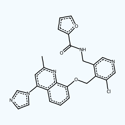 Cc1cc(-n2ccnc2)c2cccc(OCc3c(Cl)cncc3CNC(=O)c3ccco3)c2n1